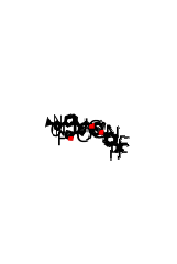 O=C(N(CC12CCC(c3ccc(C(F)(F)F)cn3)(CC1)CC2)c1cccc(-c2noc(C3CC3)n2)c1)C12CC(F)(C1)C2